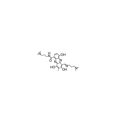 Cc1c(O)c(/C=N/CCCN(C)C)c2nc3c(O)ccc(C(=O)NCCCN(C)C)c3nc2c1O